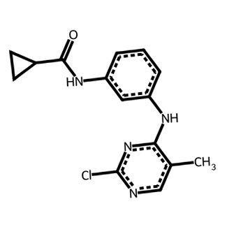 Cc1cnc(Cl)nc1Nc1cccc(NC(=O)C2CC2)c1